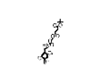 COc1cc(CCNC(=O)OCOC(=O)CCC(=O)OC(C)(C)C)c(OC)cc1Br